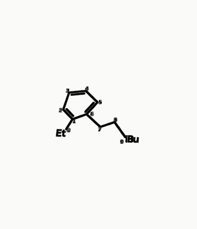 CCc1ccccc1CCC(C)CC